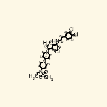 CCN(C1CCN(C2CCN(C(=O)c3ncnc(NCCc4ccc(Cl)c(Cl)c4)c3C)CC2)CC1)S(C)(=O)=O